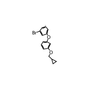 Brc1c[c]cc(Oc2cccc(OCC3CC3)c2)c1